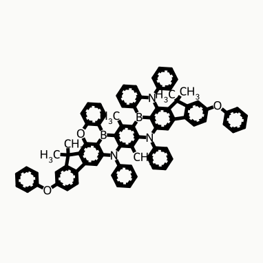 Cc1c2c(c(C)c3c1B1c4ccccc4N(c4ccccc4)c4c1c(cc1c4C(C)(C)c4cc(Oc5ccccc5)ccc4-1)N3c1ccccc1)N(c1ccccc1)c1cc3c(c4c1B2c1ccccc1O4)C(C)(C)c1cc(Oc2ccccc2)ccc1-3